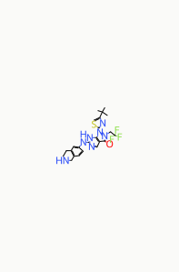 CC(C)(C)c1csc(-n2c3nc(Nc4ccc5c(c4)CCNC5)ncc3c(=O)n2CC(F)(F)F)n1